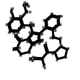 C=C(F)C(=O)N1CCC[C@H]1COc1cnccc1-c1[nH]c2c(c1Nc1cccc(F)c1OC)C(=O)NCC2